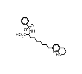 O=C(O)C(CCCCCCCc1ccc2c(n1)NCCC2)NS(=O)(=O)c1ccccc1